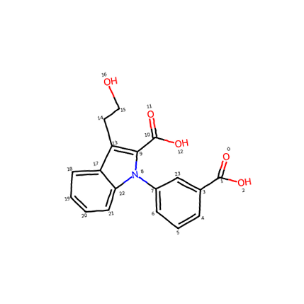 O=C(O)c1cccc(-n2c(C(=O)O)c(CCO)c3ccccc32)c1